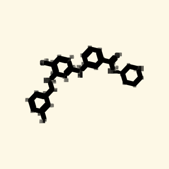 O=C(N[C@H]1CCCNC1)c1cccc(Nc2ncc(Cl)c(NCc3cccc(F)c3)n2)c1